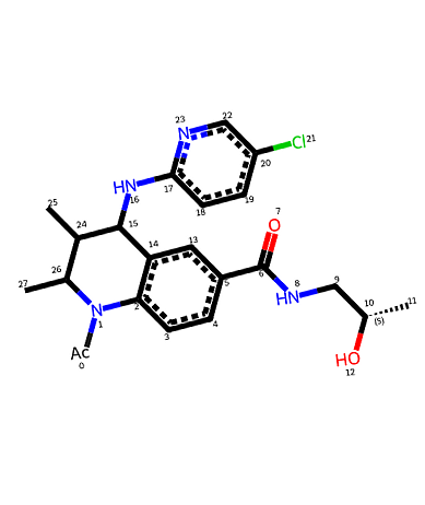 CC(=O)N1c2ccc(C(=O)NC[C@H](C)O)cc2C(Nc2ccc(Cl)cn2)C(C)C1C